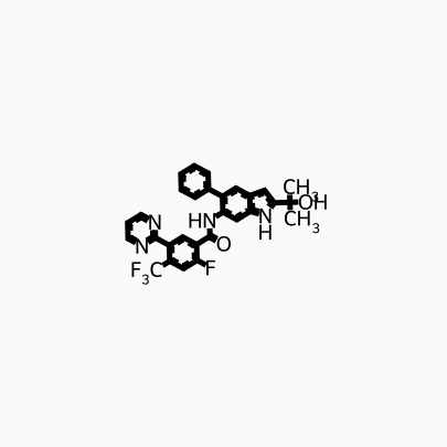 CC(C)(O)c1cc2cc(-c3ccccc3)c(NC(=O)c3cc(-c4ncccn4)c(C(F)(F)F)cc3F)cc2[nH]1